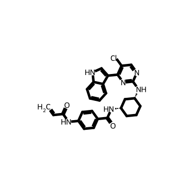 C=CC(=O)Nc1ccc(C(=O)N[C@H]2CCC[C@@H](Nc3ncc(Cl)c(-c4c[nH]c5ccccc45)n3)C2)cc1